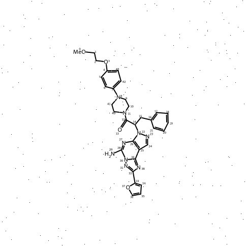 COCCOc1ccc(N2CCN(C(=O)C(Cc3ccccc3)n3ncc4c3nc(N)n3nc(-c5ccco5)nc43)CC2)cc1